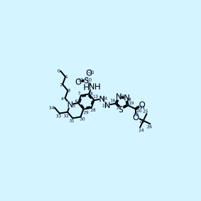 CCCCCN1c2cc(N[SH](=O)=O)c(N=Nc3nnc(C(=O)OC(C)(C)C)s3)cc2CCC1CC